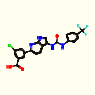 O=C(Nc1ccc(C(F)(F)F)cc1)Nc1c[nH]c2nc(-c3cc(Cl)cc(C(=O)O)c3)ccc12